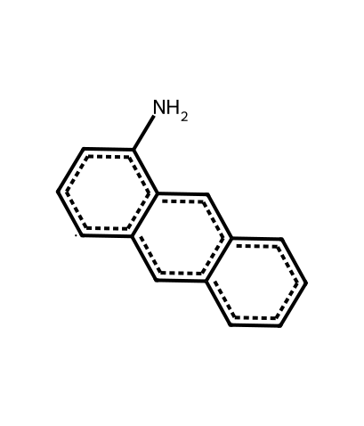 Nc1cc[c]c2cc3ccccc3cc12